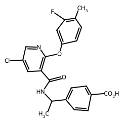 Cc1ccc(Oc2ncc(Cl)cc2C(=O)NC(C)c2ccc(C(=O)O)cc2)cc1F